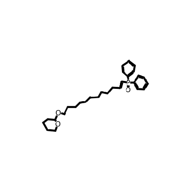 O=P(C=CCCCCCCCCCCOC1CCCCO1)(c1ccccc1)c1ccccc1